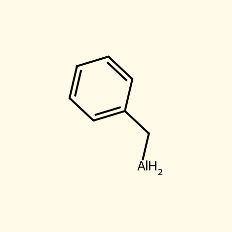 [AlH2][CH2]c1ccccc1